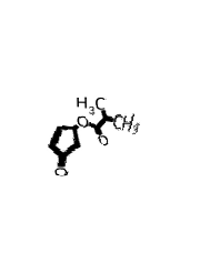 CC(C)C(=O)OC1C=CC(=O)C1